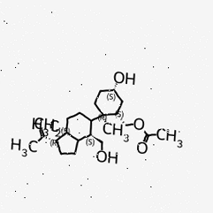 C=C(C)[C@H]1CCC2[C@H](CO)C([C@@]3(C)CC[C@H](O)C[C@@H]3COC(C)=O)CC[C@@]21C